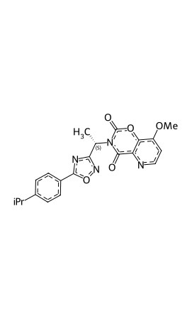 COc1ccnc2c(=O)n([C@@H](C)c3noc(-c4ccc(C(C)C)cc4)n3)c(=O)oc12